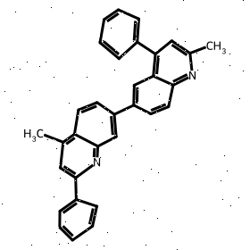 Cc1cc(-c2ccccc2)c2cc(-c3ccc4c(C)cc(-c5ccccc5)nc4c3)ccc2n1